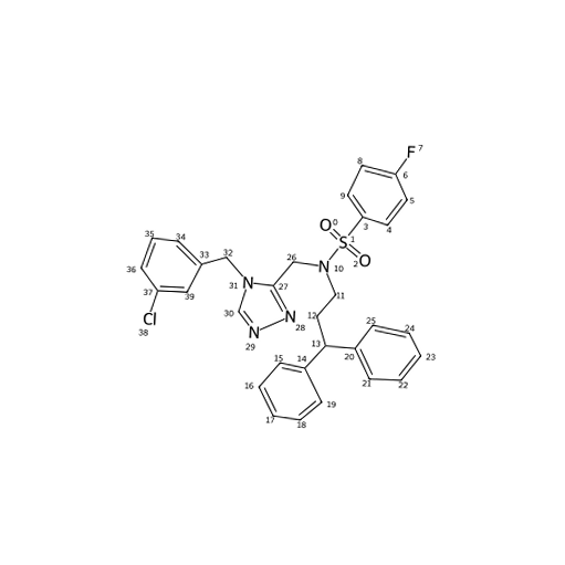 O=S(=O)(c1ccc(F)cc1)N(CCC(c1ccccc1)c1ccccc1)Cc1nncn1Cc1cccc(Cl)c1